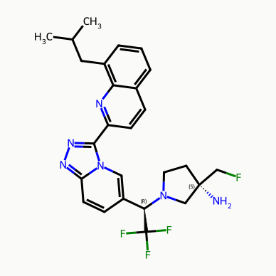 CC(C)Cc1cccc2ccc(-c3nnc4ccc([C@@H](N5CC[C@@](N)(CF)C5)C(F)(F)F)cn34)nc12